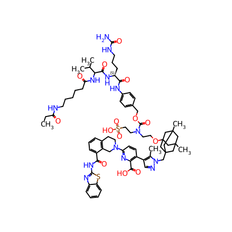 CCC(=O)NCCCCCC(=O)NC(C(=O)N[C@@H](CCCNC(N)=O)C(=O)Nc1ccc(COC(=O)N(CCOC23CC4(C)CC(C)(CC(Cn5ncc(-c6ccc(N7CCc8cccc(C(=O)Nc9nc%10ccccc%10s9)c8C7)nc6C(=O)O)c5C)(C4)C2)C3)CCS(=O)(=O)O)cc1)C(C)C